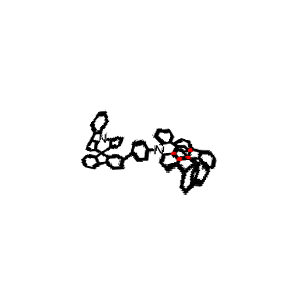 c1ccc(-c2ccc(-c3ccccc3N(c3ccc(-c4ccc5c(c4)C4(c6ccccc6-5)c5ccccc5-n5c6ccccc6c6cccc4c65)cc3)c3ccc4c(c3)C3(c5ccccc5-c5ccccc53)c3ccccc3-4)cc2)cc1